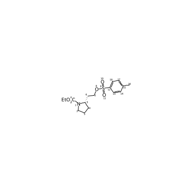 CCOC(=O)N1CCC[C@H]1CCOS(=O)(=O)c1ccc(C)cc1